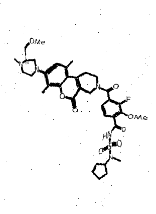 COC[C@H]1CN(c2cc(C)c3c4c(c(=O)oc3c2C)CN(C(=O)c2ccc(C(=O)NS(=O)(=O)N(C)C3CCCC3)c(OC)c2F)CC4)CCN1C